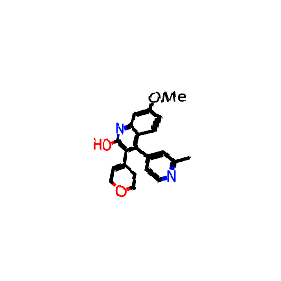 COc1ccc2c(-c3ccnc(C)c3)c(C3=CCOCC3)c(O)nc2c1